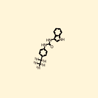 [2H]C([2H])([2H])C([2H])([2H])c1ccc(NC(=O)Nc2c[nH]c3ccccc23)cc1